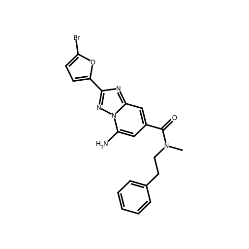 CN(CCc1ccccc1)C(=O)c1cc(N)n2nc(-c3ccc(Br)o3)nc2c1